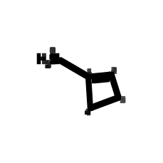 [SiH3]C1=CCC1